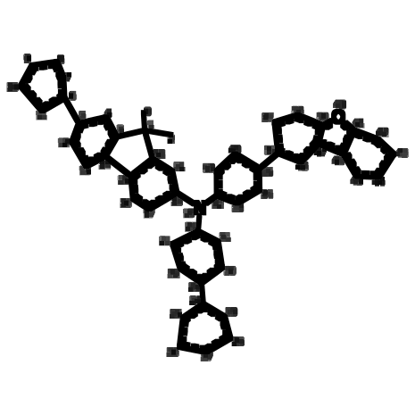 CC1(C)c2cc(-c3ccccc3)ccc2-c2ccc(N(c3ccc(-c4ccccc4)cc3)c3ccc(-c4ccc5oc6ccccc6c5c4)cc3)cc21